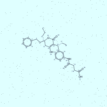 CCC[C@@]1(CCc2ccccc2)CC(O)=C([C@H](CC)c2cccc(NC(=O)CCC(=O)O)c2)C(=O)O1